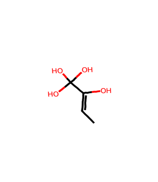 CC=C(O)C(O)(O)O